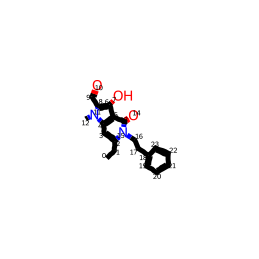 CCc1cc2c(c(O)c(C=O)n2C)c(=O)n1CCc1ccccc1